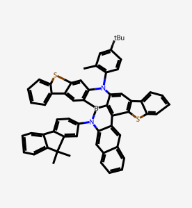 Cc1cc(C(C)(C)C)ccc1N1c2cc3sc4ccccc4c3cc2B2c3c1cc1c(sc4ccccc41)c3-c1cc3ccccc3cc1N2c1ccc2c(c1)C(C)(C)c1ccccc1-2